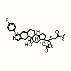 CCC(=O)O[C@]1(C(=O)SCC(=O)N(C)C)CC[C@H]2[C@@H]3CCC4=Cc5c(cnn5-c5ccc(F)cc5)C[C@]4(C)[C@H]3[C@@H](O)C[C@@]21C